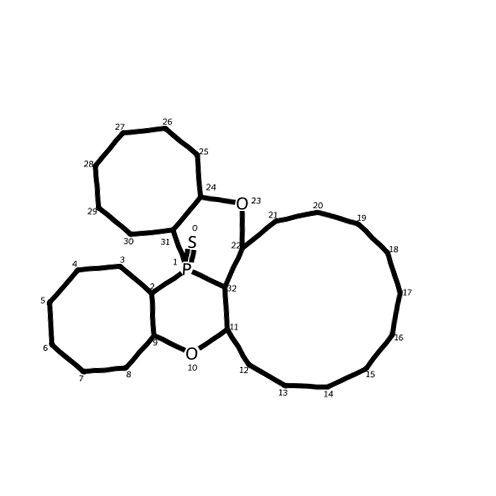 S=P12C3CCCCCCC3OC3CCCCCCCCCCC(OC4CCCCCCC41)C32